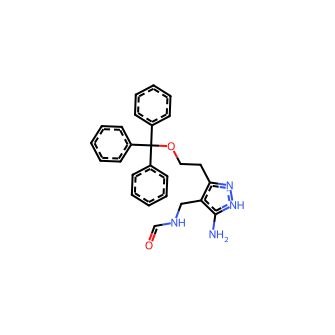 Nc1[nH]nc(CCOC(c2ccccc2)(c2ccccc2)c2ccccc2)c1CNC=O